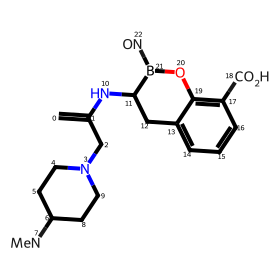 C=C(CN1CCC(NC)CC1)NC1Cc2cccc(C(=O)O)c2OB1N=O